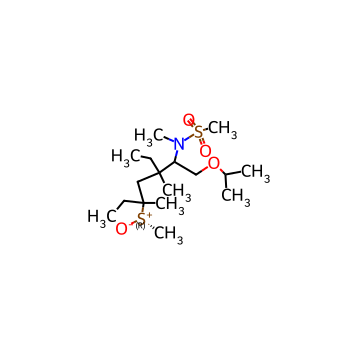 CCC(C)(CC(C)(CC)[S@+](C)[O-])C(COC(C)C)N(C)S(C)(=O)=O